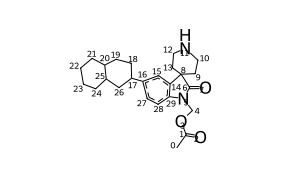 CC(=O)OCN1C(=O)C2(CCNCC2)c2cc(C3CCC4CCCCC4C3)ccc21